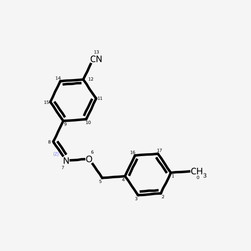 Cc1ccc(CO/N=[C]\c2ccc(C#N)cc2)cc1